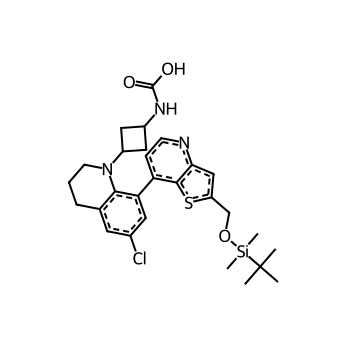 CC(C)(C)[Si](C)(C)OCc1cc2nccc(-c3cc(Cl)cc4c3N(C3CC(NC(=O)O)C3)CCC4)c2s1